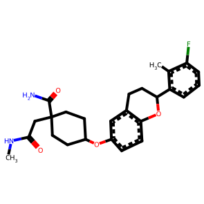 CNC(=O)CC1(C(N)=O)CCC(Oc2ccc3c(c2)CCC(c2cccc(F)c2C)O3)CC1